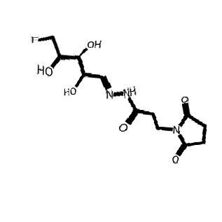 O=C(CCN1C(=O)CCC1=O)N/N=C/C(O)[C@H](O)C(O)CF